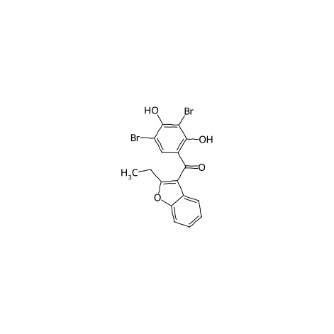 CCc1oc2ccccc2c1C(=O)c1cc(Br)c(O)c(Br)c1O